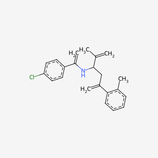 C=C(NC(CC(=C)c1ccccc1C)C(=C)C)c1ccc(Cl)cc1